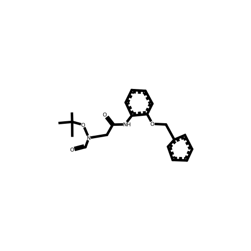 CC(C)(C)ON(C=O)CC(=O)Nc1ccccc1OCc1ccccc1